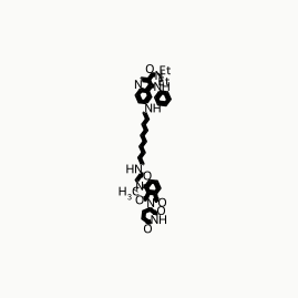 CCN(CC)C(=O)c1cnc2ccc(NCCCCCCCCCCNC(=O)CN(C)c3cccc4c3C(=O)N(C3CCC(=O)NC3=O)C4=O)cc2c1Nc1ccccc1